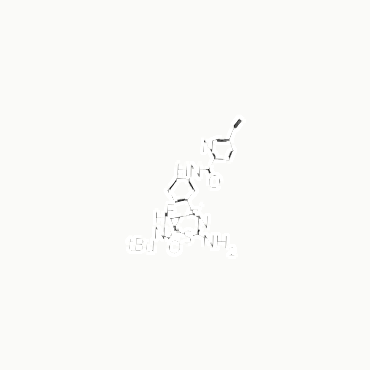 C#Cc1ccc(C(=O)Nc2ccc(F)c([C@@]3(C)N=C(N)S[C@@]4(C(=O)NC(C)(C)C)CC43)c2)nc1